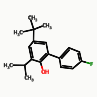 CC(C)c1cc(C(C)(C)C)cc(-c2ccc(F)cc2)c1O